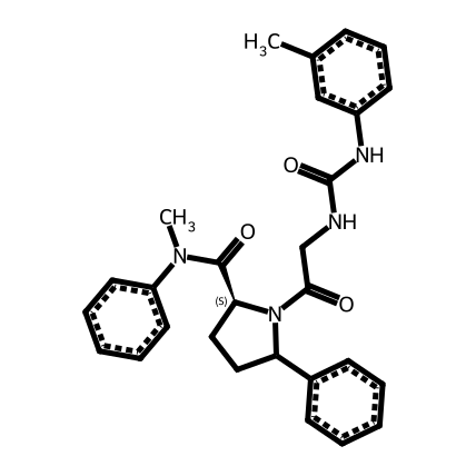 Cc1cccc(NC(=O)NCC(=O)N2C(c3ccccc3)CC[C@H]2C(=O)N(C)c2ccccc2)c1